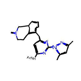 CC(=O)Nc1cc(C2=CC=CC3CN(C)CCC23)nc(-n2nc(C)cc2C)n1